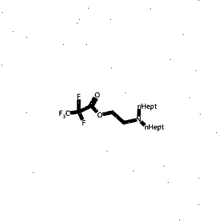 CCCCCCCN(CCCCCCC)CCOC(=O)C(F)(F)C(F)(F)F